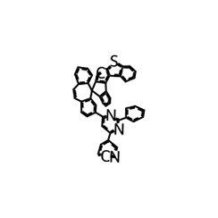 C1=Cc2ccc(-c3cc(-c4cccnc4)nc(-c4ccccc4)n3)cc2C2(c3ccccc31)c1ccccc1-c1c2ccc2sc3ccccc3c12